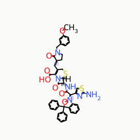 COc1cccc(CN2CC/C(=C\C3=C(C(=O)O)N4C(=O)[C@@H](NC(=O)/C(=N\OC(c5ccccc5)(c5ccccc5)c5ccccc5)c5csc(N)n5)[C@H]4SC3)C2=O)c1